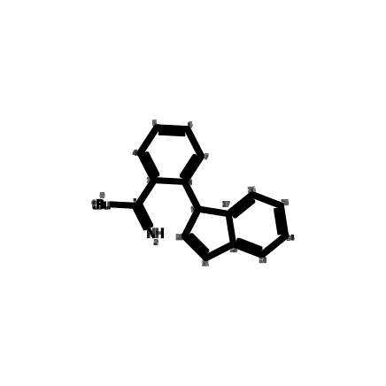 CC(C)(C)C(=N)c1ccccc1C1C=Cc2ccccc21